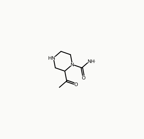 CC(=O)C1CNCCN1C([NH])=O